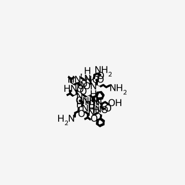 CC(C)C[C@H](NC(=O)[C@H](CC(C)C)NC(=O)[C@H](Cc1c[nH]c2ccccc12)NC(=O)[C@H](CCCCN)NC(=O)[C@@H](NC(=O)[C@H](Cc1ccccc1)NC(=O)[C@@H](N)CC(=O)O)C(C)C)C(=O)N[C@@H](C)C(=O)N[C@@H](CCC(N)=O)C(=O)N[C@@H](CCCCN)C(=O)O